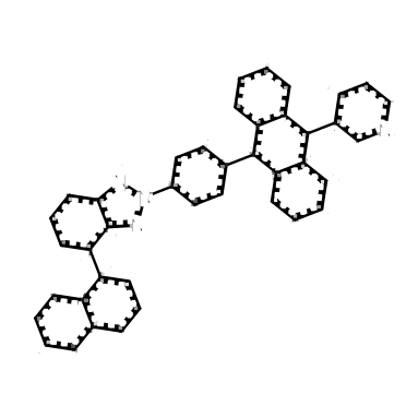 c1cncc(-c2c3ccccc3c(-c3ccc(-n4nc5cccc(-c6cccc7ccccc67)c5n4)cc3)c3ccccc23)c1